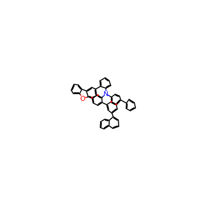 c1ccc(-c2ccc(N(c3ccccc3-c3cccc(-c4cccc5ccccc45)c3)c3ccccc3-c3ccc4oc5ccccc5c4c3)cc2)cc1